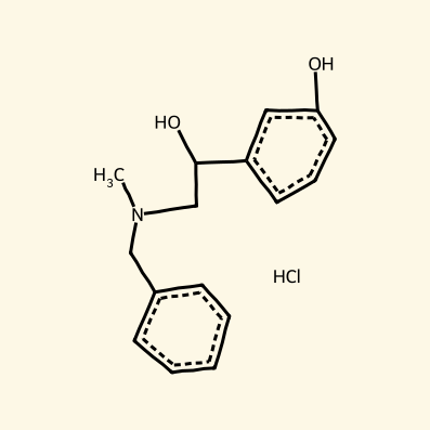 CN(Cc1ccccc1)CC(O)c1cccc(O)c1.Cl